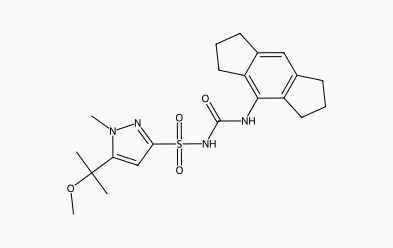 COC(C)(C)c1cc(S(=O)(=O)NC(=O)Nc2c3c(cc4c2CCC4)CCC3)nn1C